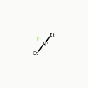 C[CH2][Al+][CH2]C.[F-]